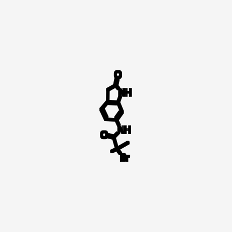 CC(C)(Br)C(=O)Nc1ccc2c(c1)NC(=O)C2